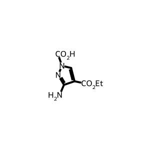 CCOC(=O)c1cn(C(=O)O)nc1N